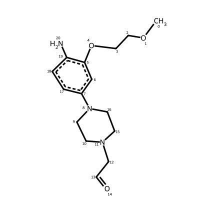 COCCOc1cc(N2CCN(CC=O)CC2)ccc1N